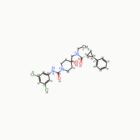 CCN(CC1(O)CCN(C(=O)Nc2cc(Cl)cc(Cl)c2)CC1)C(=O)[C@@H]1C[C@H]1c1ccccc1